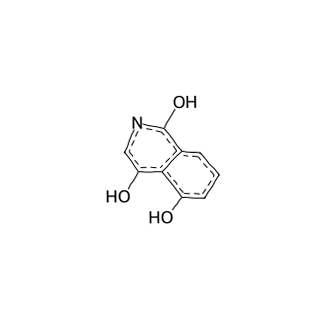 Oc1ncc(O)c2c(O)cccc12